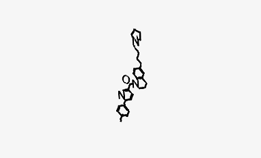 Cc1ccc(-c2ccc(C(=O)N3CCCc4cc(/C=C/CCN5CCCC5)ccc43)cn2)cc1